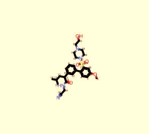 COc1ccc(-c2cccc(C(CC(C)C)C(=O)NCC#N)c2)c(S(=O)(=O)N2CCN(CCO)CC2)c1